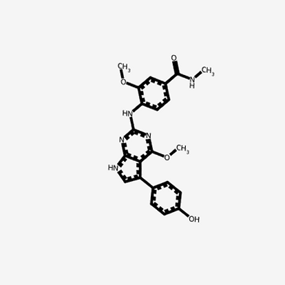 CNC(=O)c1ccc(Nc2nc(OC)c3c(-c4ccc(O)cc4)c[nH]c3n2)c(OC)c1